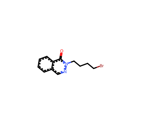 O=c1c2ccccc2cnn1CCCCBr